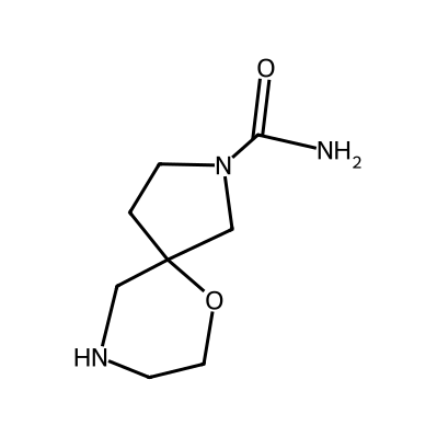 NC(=O)N1CCC2(CNCCO2)C1